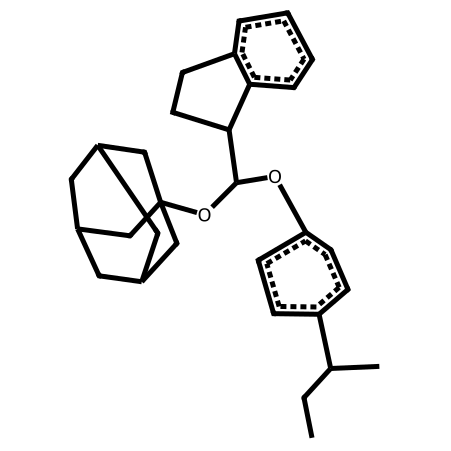 CCC(C)c1ccc(OC(OC23CC4CC(CC(C4)C2)C3)C2CCc3ccccc32)cc1